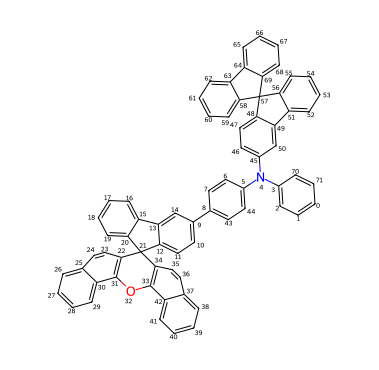 c1ccc(N(c2ccc(-c3ccc4c(c3)-c3ccccc3C43c4ccc5ccccc5c4Oc4c3ccc3ccccc43)cc2)c2ccc3c(c2)-c2ccccc2C32c3ccccc3-c3ccccc32)cc1